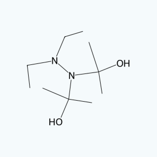 CCN(CC)N(C(C)(C)O)C(C)(C)O